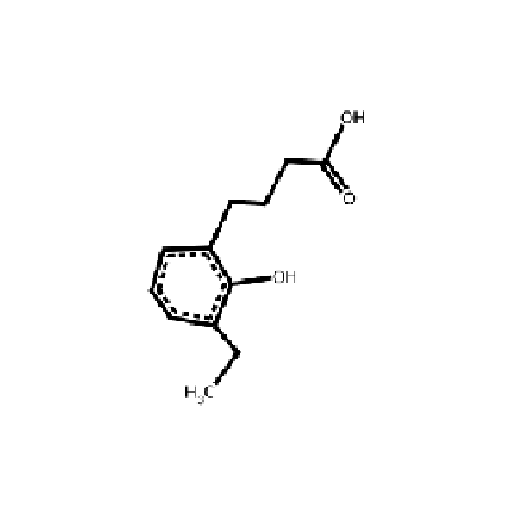 CCc1cccc(CCCC(=O)O)c1O